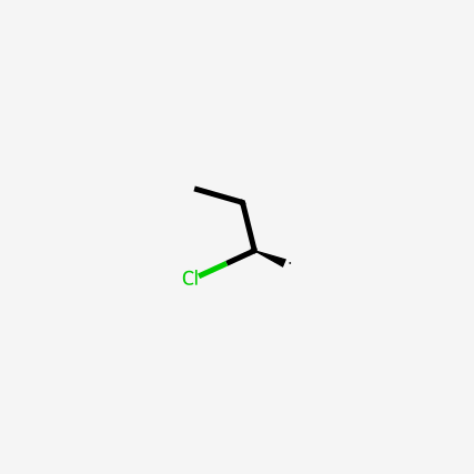 [CH2][C@@H](Cl)CC